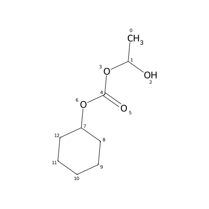 CC(O)OC(=O)OC1CCCCC1